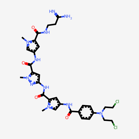 Cn1cc(NC(=O)c2cc(NC(=O)c3cc(NC(=O)c4ccc(N(CCCl)CCCl)cc4)cn3C)nn2C)cc1C(=O)NCCC(=N)N